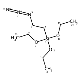 CCO[Si](CCN=[N+]=[N-])(OCC)OCC